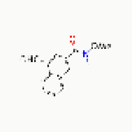 CON(C)C(=O)c1cc(C=O)c2ccccc2c1